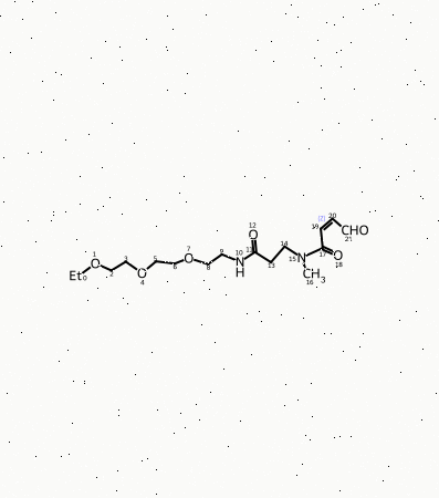 CCOCCOCCOCCNC(=O)CCN(C)C(=O)/C=C\C=O